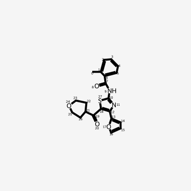 Cc1ccccc1C(=O)Nc1nc(-c2ccco2)c(C(=O)C2CCOCC2)s1